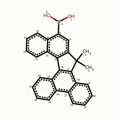 CC1(C)c2cc(B(O)O)c3ccccc3c2-c2c1c1ccccc1c1ccccc21